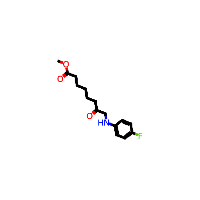 COC(=O)CCCCCC(=O)CNc1ccc(F)cc1